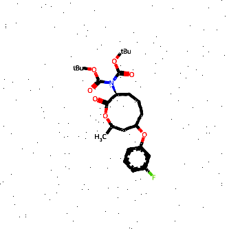 CC1CC(Oc2cccc(F)c2)CCC[C@H](N(C(=O)OC(C)(C)C)C(=O)OC(C)(C)C)C(=O)O1